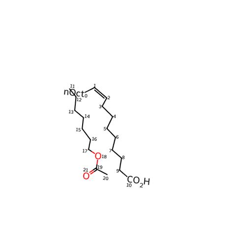 CCCCCCCC/C=C\CCCCCCCC(=O)O.CCCCCCCOC(C)=O